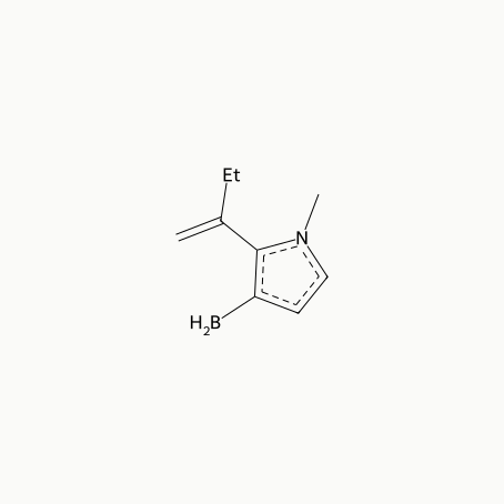 Bc1ccn(C)c1C(=C)CC